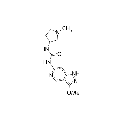 COc1n[nH]c2cc(NC(=O)NC3CCN(C)C3)ncc12